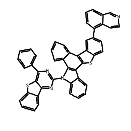 c1ccc(-c2nc(-n3c4ccccc4c4c5sc6ccc(-c7cccc8cnccc78)cc6c5c5ccccc5c43)nc3c2sc2ccccc23)cc1